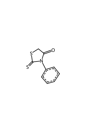 O=C1CSC(=S)N1c1ccccc1